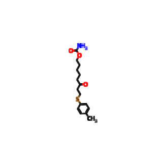 Cc1ccc(SCCC(=O)CCCCCOC(N)=O)cc1